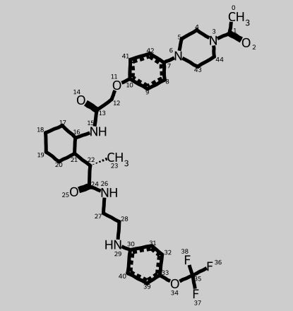 CC(=O)N1CCN(c2ccc(OCC(=O)NC3CCCCC3[C@H](C)C(=O)NCCNc3ccc(OC(F)(F)F)cc3)cc2)CC1